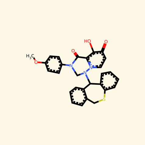 COc1ccc(N2CN(C3c4ccccc4CSc4ccccc43)n3ccc(=O)c(O)c3C2=O)cc1